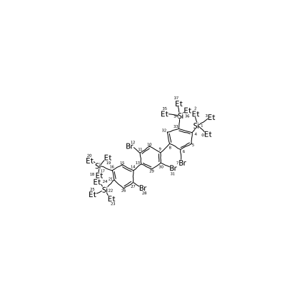 CC[Si](CC)(CC)c1cc(Br)c(-c2cc(Br)c(-c3cc([Si](CC)(CC)CC)c([Si](CC)(CC)CC)cc3Br)cc2Br)cc1[Si](CC)(CC)CC